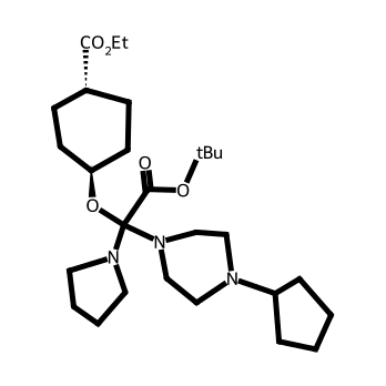 CCOC(=O)[C@H]1CC[C@H](OC(C(=O)OC(C)(C)C)(N2CCCC2)N2CCN(C3CCCC3)CC2)CC1